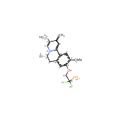 C=C1C=C2c3cc(OC)c(OCC(F)(F)P)cc3C[C@H](CC)N2C=C1C(=O)O